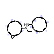 CCN(NC1=C/C=C\C=C/C=C\C=C/C=C\1)C1=C/C=C2/C/C2=C/C=C\C=C/C=C\1